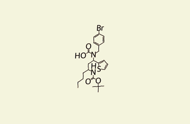 CCCCC(CC(c1cccs1)N(Cc1ccc(Br)cc1)C(=O)O)NC(=O)OC(C)(C)C